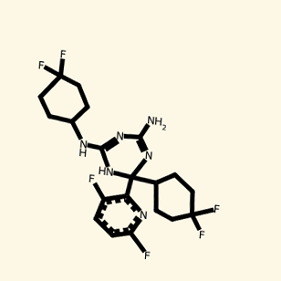 NC1=NC(c2nc(F)ccc2F)(C2CCC(F)(F)CC2)NC(NC2CCC(F)(F)CC2)=N1